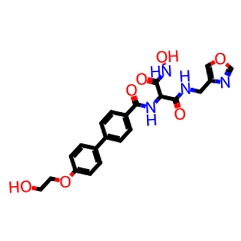 O=C(NC(C(=O)NO)C(=O)NCc1cocn1)c1ccc(-c2ccc(OCCO)cc2)cc1